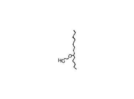 CCCCCCCCC(CCCCC)OCCO